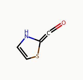 O=C=C1NC=CS1